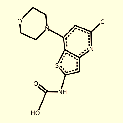 O=C(O)Nc1cc2nc(Cl)cc(N3CCOCC3)c2s1